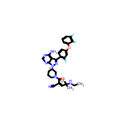 CCNC(C)(C)/C=C(/C#N)C(=O)N1CCC[C@@H](n2nc(-c3ccc(Oc4cccc(F)c4F)cc3F)c3c(N)ncnc32)C1